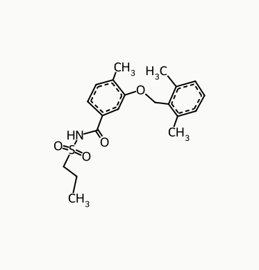 CCCS(=O)(=O)NC(=O)c1ccc(C)c(OCc2c(C)cccc2C)c1